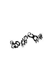 Cc1cc(-n2cnnn2)ncc1CC(=O)N1CCN2C[C@@H](c3ccc4c(c3)CCOC4=O)OC[C@@H]2C1